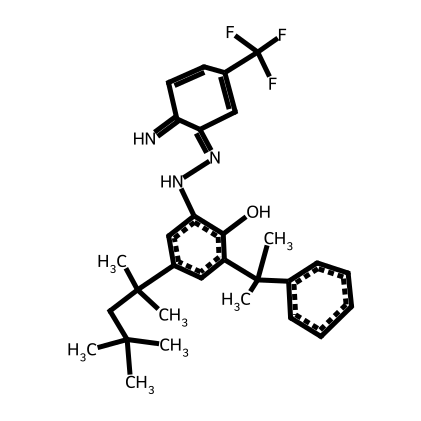 CC(C)(C)CC(C)(C)c1cc(N/N=C2/C=C(C(F)(F)F)C=CC2=N)c(O)c(C(C)(C)c2ccccc2)c1